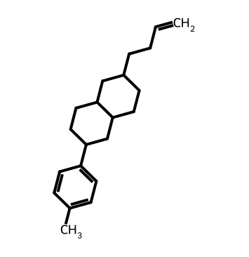 C=CCCC1CCC2CC(c3ccc(C)cc3)CCC2C1